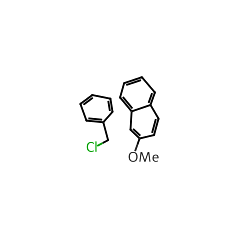 COc1ccc2ccccc2c1.ClCc1ccccc1